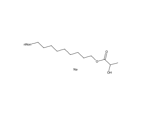 CCCCCCCCCCCCCCCCCCOC(=O)C(C)O.[Na]